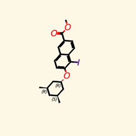 COC(=O)c1ccc2c(I)c(O[C@H]3C[C@H](C)C[C@H](C)C3)ccc2c1